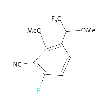 COc1c(C(OC)C(F)(F)F)ccc(F)c1C#N